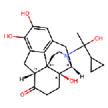 CC(O)(C1CC1)N1CC[C@]23c4c5cc(O)c(O)c4C[C@H]2C(=O)CC[C@@]3(O)[C@H]1C5